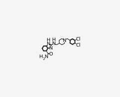 NC(=O)c1cccc2[nH]c(NCC3CCN(Cc4ccc(Cl)c(Cl)c4)CC3)nc12